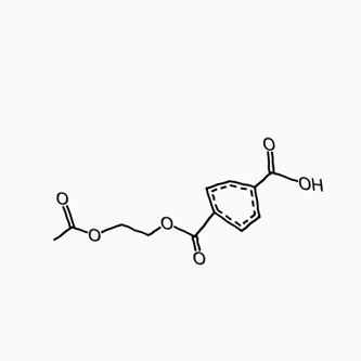 CC(=O)OCCOC(=O)c1ccc(C(=O)O)cc1